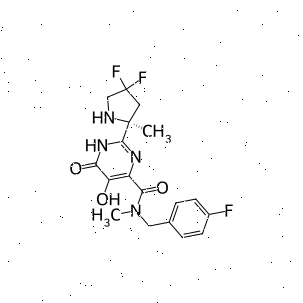 CN(Cc1ccc(F)cc1)C(=O)c1nc([C@]2(C)CC(F)(F)CN2)[nH]c(=O)c1O